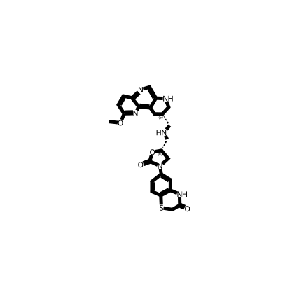 COc1ccc2ncc3c(c2n1)C[C@@H](CNC[C@@H]1CN(c2ccc4c(c2)NC(=O)CS4)C(=O)O1)CN3